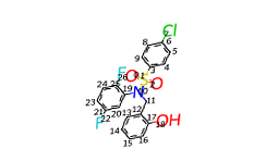 O=S(=O)(c1ccc(Cl)cc1)N(Cc1ccccc1O)c1cc(F)ccc1F